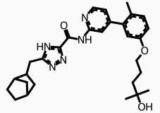 Cc1ccc(OCCCC(C)(C)O)cc1-c1ccnc(NC(=O)c2nnc(CC3CC4CCC3C4)[nH]2)c1